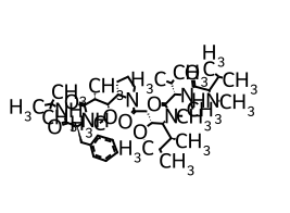 CC[C@H](C)[C@@H]([C@@H](CC(=O)N1CCC[C@H]1[C@H](OC)[C@@H](C)C(=O)N[C@@H](Cc1ccccc1)C(=O)NC(C)(C)C)OC)N(C)C(=O)[C@H](C(C)C)N(C)C(=O)[C@@H](NC)C(C)C